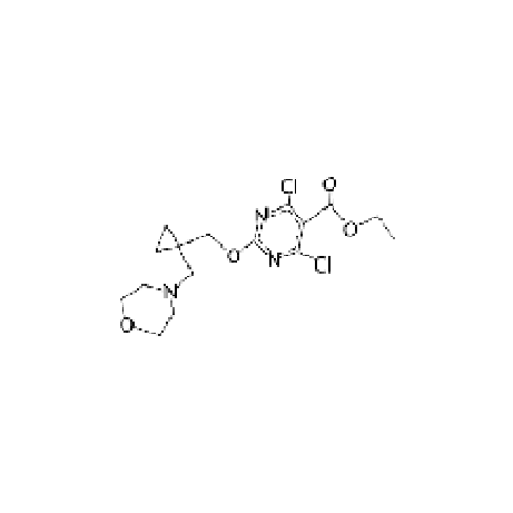 CCOC(=O)c1c(Cl)nc(OCC2(CN3CCOCC3)CC2)nc1Cl